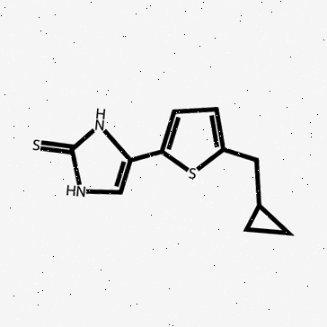 S=c1[nH]cc(-c2ccc(CC3CC3)s2)[nH]1